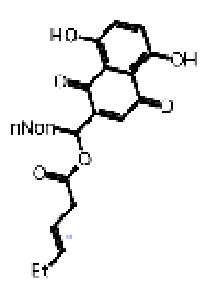 CC/C=C/CC(=O)OC(CCCCCCCCC)C1=CC(=O)c2c(O)ccc(O)c2C1=O